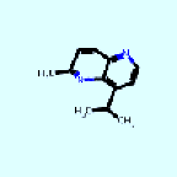 Cc1ccc2nccc(C(C)C)c2n1